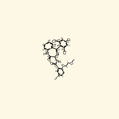 COCCOc1ccc(F)cc1C(=O)NC1N=C(c2c(Cl)cc(Cl)cc2Cl)c2ccccc2NC1=O